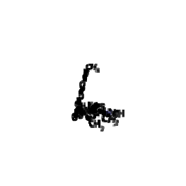 CCC[C@@H](NC(=O)[C@]1(N)CSC(/C(C)=N/O)=N1)c1cc(OCCOCCOCCOCC)cc(=O)o1